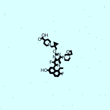 CCc1c(F)ccc2cc(O)cc(-c3ncc4c(N5CCC[C@]6(CCO6)C5)nc(OCC5(CN6CCC(C(=O)O)CC6)CC5)nc4c3F)c12